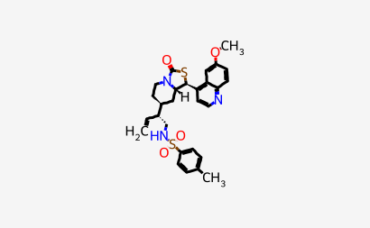 C=C[C@@H](CNS(=O)(=O)c1ccc(C)cc1)[C@H]1CCN2C(=O)S[C@@H](c3ccnc4ccc(OC)cc34)[C@@H]2C1